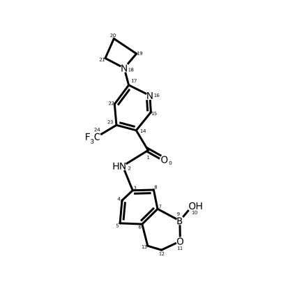 O=C(Nc1ccc2c(c1)B(O)OCC2)c1cnc(N2CCC2)cc1C(F)(F)F